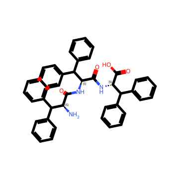 N[C@H](C(=O)N[C@H](C(=O)N[C@H](C(=O)O)C(c1ccccc1)c1ccccc1)C(c1ccccc1)c1ccccc1)C(c1ccccc1)c1ccccc1